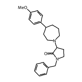 COc1ccc(C2CCCN(C3CCN(Cc4ccccc4)C3=O)CC2)cc1